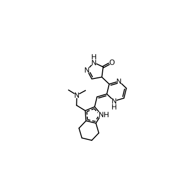 CN(C)Cc1c(C=C2NC=CN=C2C2C=NNC2=O)[nH]c2c1CCCC2